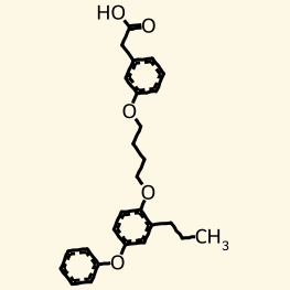 CCCc1cc(Oc2ccccc2)ccc1OCCCCOc1cccc(CC(=O)O)c1